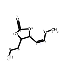 CO/C=C\C1OC(=O)OC1CCO